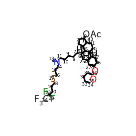 CC(=O)O[C@H]1CC[C@H]2[C@@H]3[C@H](CCCCCN(C)CCCSCCCC(F)(F)C(F)(F)F)Cc4cc(OC5CCCCO5)ccc4[C@H]3CC[C@]12C